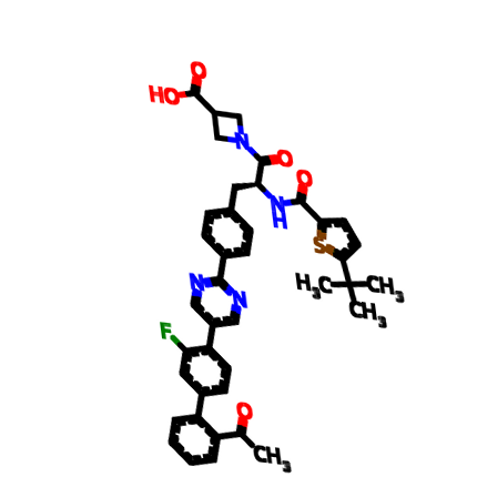 CC(=O)c1ccccc1-c1ccc(-c2cnc(-c3ccc(C[C@H](NC(=O)c4ccc(C(C)(C)C)s4)C(=O)N4CC(C(=O)O)C4)cc3)nc2)c(F)c1